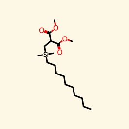 CCCCCCCCCC[Si](C)(C)CC(C(=O)OC)C(=O)OC